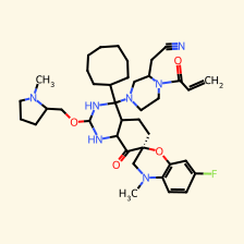 C=CC(=O)N1CCN(C2(C3CCCCCCC3)NC(OCC3CCCN3C)NC3C(=O)[C@]4(CCC32)CN(C)c2ccc(F)cc2O4)CC1CC#N